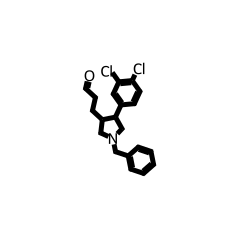 O=CCCC1CN(Cc2ccccc2)CC1c1ccc(Cl)c(Cl)c1